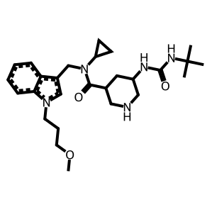 COCCCn1cc(CN(C(=O)C2CNCC(NC(=O)NC(C)(C)C)C2)C2CC2)c2ccccc21